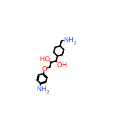 NCC1CCC(C(O)C(O)COc2ccc(N)cc2)CC1